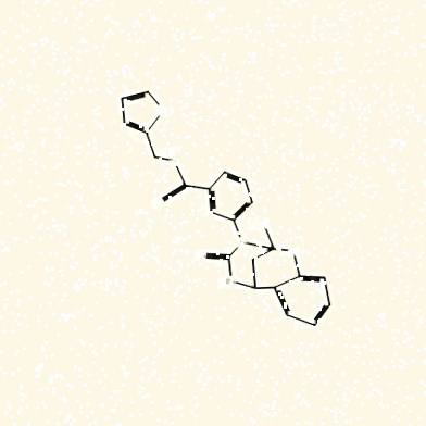 CC12CC(NC(=O)N1c1cccc(C(=O)NCc3ccco3)c1)c1ccccc1O2